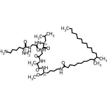 CCCCCCCCCCCCC(C)[C@@H](C)CCCCCCCCC(=O)NCCCC[C@@H](COC)NC(=O)[C@H](C)NC(=O)CNC(=O)[C@H](CC(C)C)NC(=O)CNC(=O)[C@@H](N)CCCCN